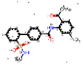 COC(=O)c1ccc([N+](=O)[O-])cc1NC(=O)c1ccc(-c2ccccc2S(=O)(=O)NC(C)(C)C)cc1